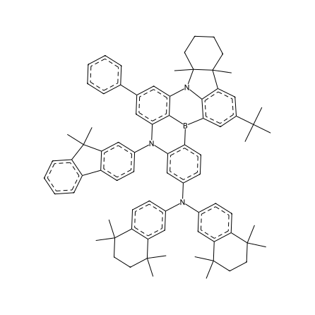 CC(C)(C)c1cc2c3c(c1)C1(C)CCCCC1(C)N3c1cc(-c3ccccc3)cc3c1B2c1ccc(N(c2ccc4c(c2)C(C)(C)CCC4(C)C)c2ccc4c(c2)C(C)(C)CCC4(C)C)cc1N3c1ccc2c(c1)C(C)(C)c1ccccc1-2